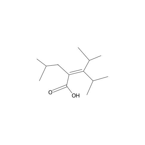 CC(C)CC(C(=O)O)=C(C(C)C)C(C)C